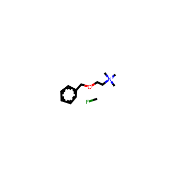 CF.C[N+](C)(C)CCOCc1ccccc1